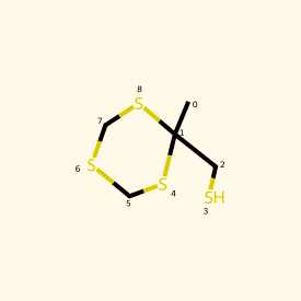 CC1(CS)SCSCS1